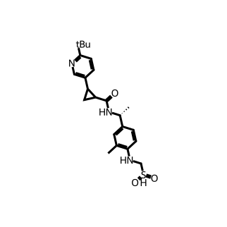 Cc1cc([C@@H](C)NC(=O)C2CC2c2ccc(C(C)(C)C)nc2)ccc1NC[SH](=O)=O